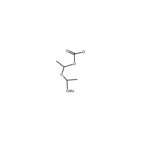 COC(C)OC(C)OC([O])=O